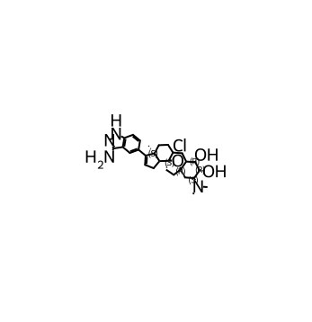 CN(C)[C@H]1C[C@@]23CC[C@]4(O2)C2CC=C(c5ccc6[nH]nc(N)c6c5)[C@@]2(C)CCC4(Cl)CC3[C@@H](O)[C@@H]1O